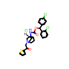 O=C(N[C@H]1C[N+]2(CC(=O)c3cccs3)CCC1CC2)OC(c1ccc(Cl)cc1)c1ccccc1Cl.[Cl-]